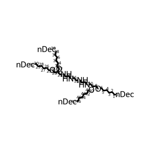 CCCCCCCCCCCCCCCCOCC(CNCCNCCNCCNCC(COCCCCCCCCCCCCCCCC)OCCCCCCCCCCCCCCCC)OCCCCCCCCCCCCCCCC